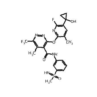 Cc1cc(C2(O)CC2)c(F)nc1Oc1nnc(C(F)(F)F)c(C)c1C(=O)Nc1cccc(S(C)(=N)=O)c1